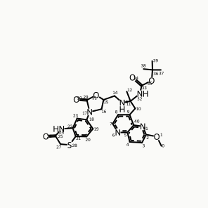 COc1ccc2nccc(CC(C)(NCC3CN(c4ccc5c(c4)NC(=O)CS5)C(=O)O3)NC(=O)OC(C)(C)C)c2n1